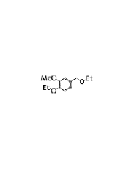 CCOCc1ccc(OCC)c(OC)c1